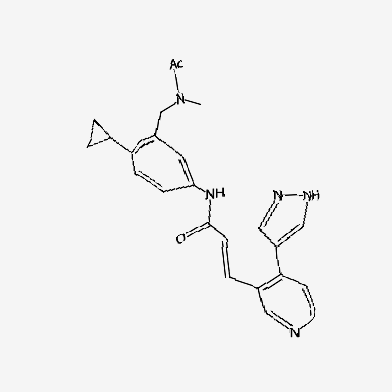 CC(=O)N(C)Cc1cc(NC(=O)/C=C/c2cnccc2-c2cn[nH]c2)ccc1C1CC1